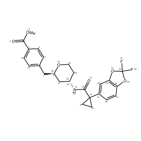 COC(=O)c1ccc(C[C@@H]2C[C@@H](NC(=O)C3(c4ccc5c(c4)OC(F)(F)O5)CC3)CCO2)cc1